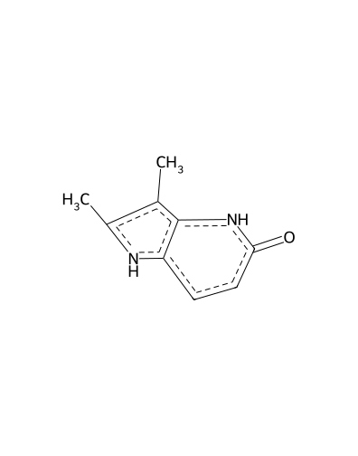 Cc1[nH]c2ccc(=O)[nH]c2c1C